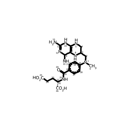 CN(CC1CNC2=C(N1)C(N)N=C(N)N2)c1ccc(C(=O)N[C@@H](CCC(=O)O)C(=O)O)cc1